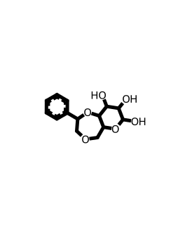 OC1OC2COCC(c3ccccc3)OC2C(O)C1O